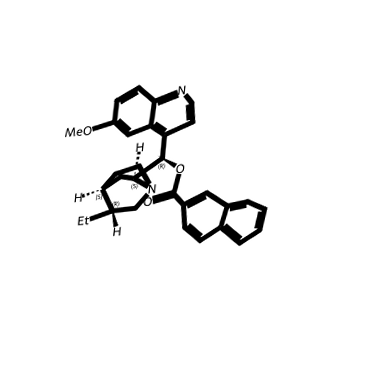 CC[C@H]1CN2CC[C@H]1C[C@H]2[C@H](OC(=O)c1ccc2ccccc2c1)c1ccnc2ccc(OC)cc12